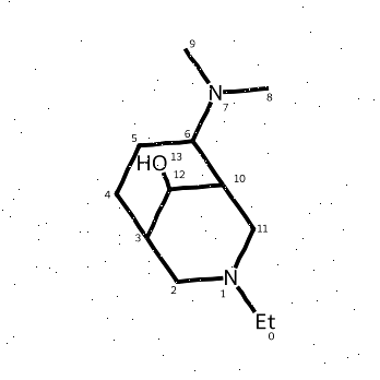 CCN1CC2CCC(N(C)C)C(C1)C2O